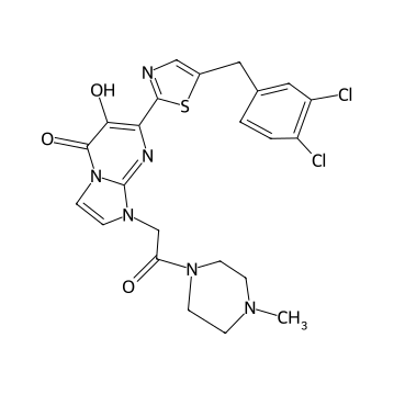 CN1CCN(C(=O)Cn2ccn3c(=O)c(O)c(-c4ncc(Cc5ccc(Cl)c(Cl)c5)s4)nc23)CC1